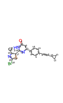 O=c1cc(-c2ccc(C#CC3CC3)cc2)nc(-c2sc(Br)nc2C(F)(F)F)[nH]1